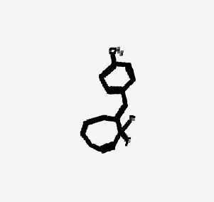 Cc1ccc(/C=C2\CCCCC#CC2(F)F)cc1